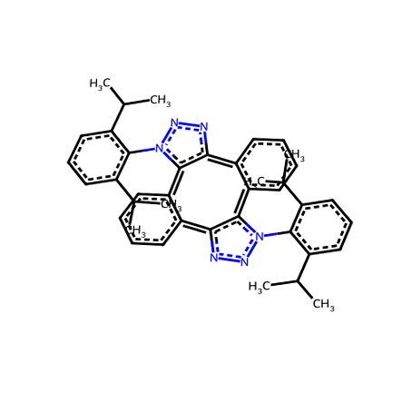 CC(C)c1cccc(C(C)C)c1-n1nnc2/c1=c1/cccc/c1=c1\nnn(-c3c(C(C)C)cccc3C(C)C)\c1=c1/cccc/c1=2